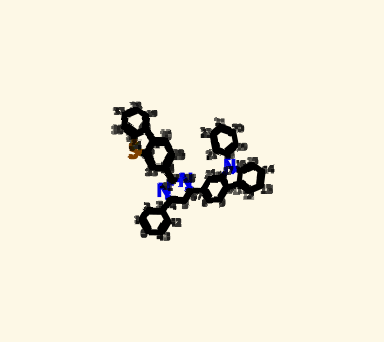 c1ccc(-c2cc(-c3ccc4c5ccccc5n(-c5ccccc5)c4c3)nc(-c3ccc4c(c3)sc3ccccc34)n2)cc1